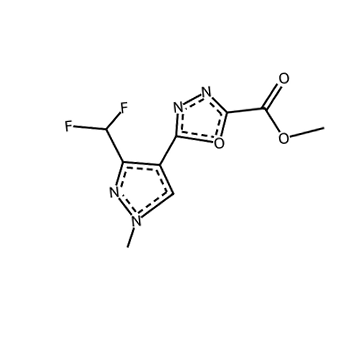 COC(=O)c1nnc(-c2cn(C)nc2C(F)F)o1